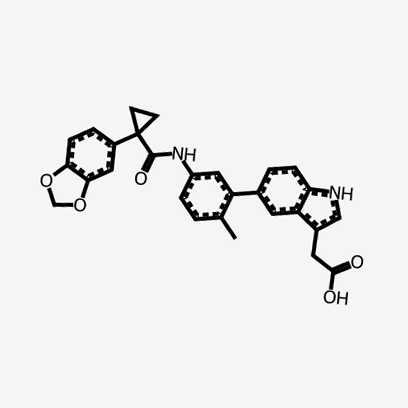 Cc1ccc(NC(=O)C2(c3ccc4c(c3)OCO4)CC2)cc1-c1ccc2[nH]cc(CC(=O)O)c2c1